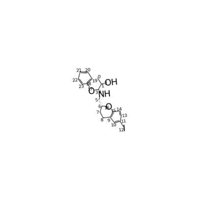 CC(O)C(NC[C@H]1CCc2cc(I)ccc2O1)Oc1ccccc1